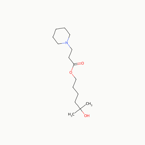 CC(C)(O)CCCCOC(=O)CCN1CCCCC1